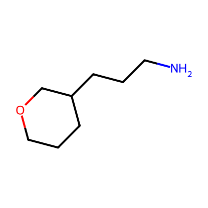 NCCCC1CCCOC1